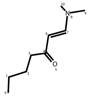 CCCCC(=O)/C=C/N(C)C